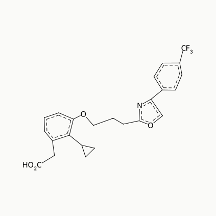 O=C(O)Cc1cccc(OCCCc2nc(-c3ccc(C(F)(F)F)cc3)co2)c1C1CC1